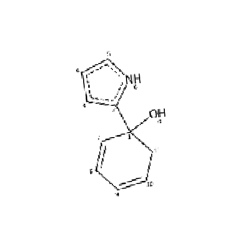 OC1(c2ccc[nH]2)C=CC=CC1